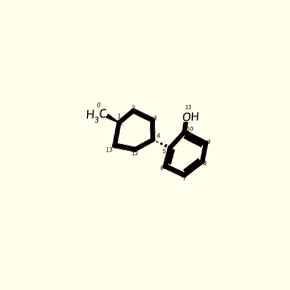 C[C@H]1CC[C@H](c2ccccc2O)CC1